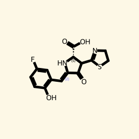 O=C1/C(=C/c2cc(F)ccc2O)N[C@H](C(=O)O)C1C1=NCCS1